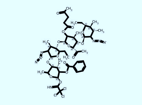 CCC1O[C@H](O[C@@H]2C(C)O[C@H](OC(=N)C(Cl)(Cl)Cl)C(OC(=O)c3ccccc3)[C@H]2C)C(N=[N+]=[N-])[C@@H](C)[C@@H]1O[C@@H]1O[C@@H](C(C)=O)[C@@H](O[C@H]2O[C@@H](CC)[C@@H](C)[C@H](C)C2N=[N+]=[N-])[C@H](C)C1OC(=O)CCC(C)=O